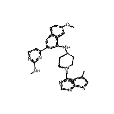 CNc1nccc(-c2cc(NC3CCN(c4ncnc5scc(C)c45)CC3)c3cc(OC)ccc3c2)n1